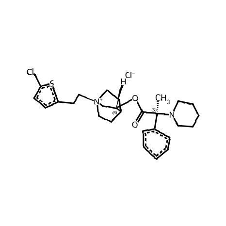 C[C@@](C(=O)O[C@H]1C[N+]2(CCc3ccc(Cl)s3)CCC1CC2)(c1ccccc1)N1CCCCC1.[Cl-]